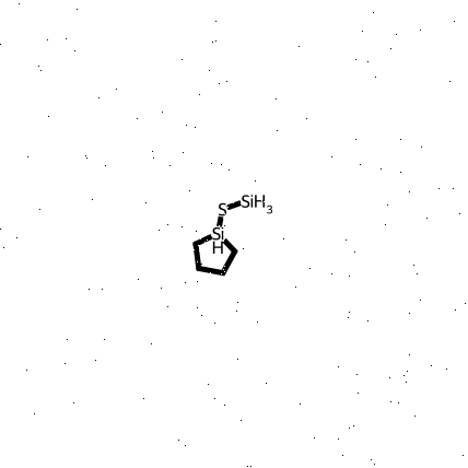 [SiH3]S[SiH]1CCCC1